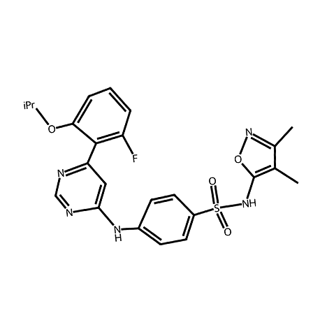 Cc1noc(NS(=O)(=O)c2ccc(Nc3cc(-c4c(F)cccc4OC(C)C)ncn3)cc2)c1C